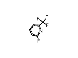 Fc1[c]ccc(C(F)(F)F)n1